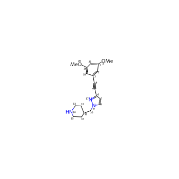 COc1cc(C#Cc2ccn(CC3CCNCC3)n2)cc(OC)c1